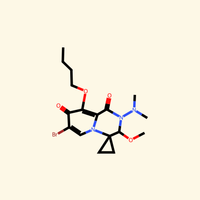 CCCCOc1c2n(cc(Br)c1=O)C1(CC1)C(OC)N(N(C)C)C2=O